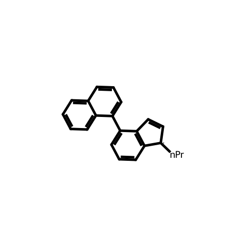 CCC[C]1C=Cc2c1cccc2-c1cccc2ccccc12